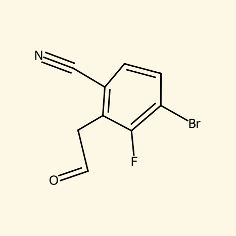 N#Cc1ccc(Br)c(F)c1CC=O